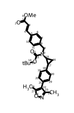 COC(=O)/C=C/c1ccc(CN(C(=O)OC(C)(C)C)C2CC2c2ccc(-c3c(C)noc3C)cc2)cc1